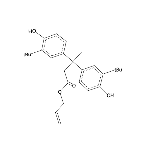 C=CCOC(=O)CC(C)(c1ccc(O)c(C(C)(C)C)c1)c1ccc(O)c(C(C)(C)C)c1